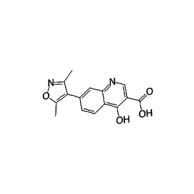 Cc1noc(C)c1-c1ccc2c(O)c(C(=O)O)cnc2c1